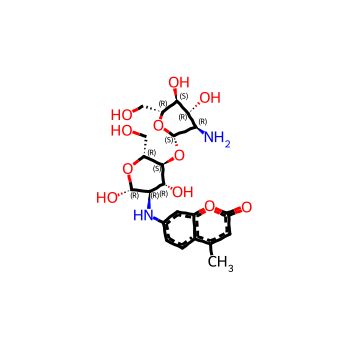 Cc1cc(=O)oc2cc(N[C@@H]3[C@@H](O)[C@H](O[C@@H]4O[C@H](CO)[C@@H](O)[C@H](O)[C@H]4N)[C@@H](CO)O[C@H]3O)ccc12